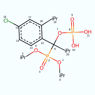 CC(C)OP(=O)(OC(C)C)C(OP(=O)(O)O)(c1ccc(Cl)cc1C(C)C)C(C)C